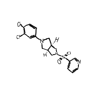 O=S(=O)(c1cccnc1)N1C[C@H]2CN(c3ccc(Cl)c(Cl)c3)C[C@H]2C1